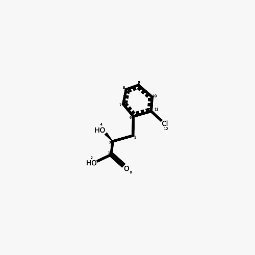 O=C(O)[C@@H](O)Cc1ccccc1Cl